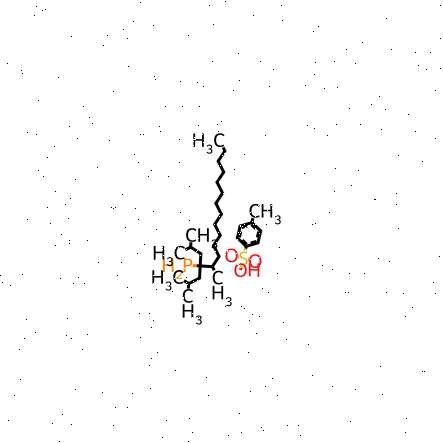 CCCCCCCCCCCCC(C)C(P)(CC(C)C)CC(C)C.Cc1ccc(S(=O)(=O)O)cc1